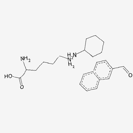 NC1CCCCC1.NCCCCC(N)C(=O)O.O=Cc1ccc2ccccc2c1